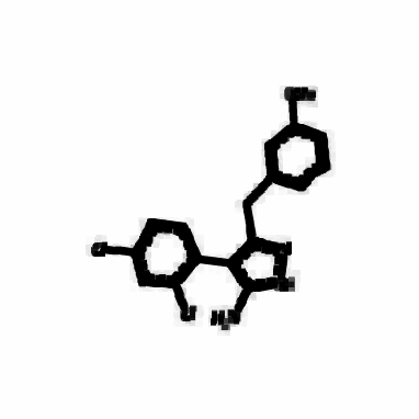 COc1cccc(Cc2n[nH]c(N)c2-c2ccc(Cl)cc2Cl)c1